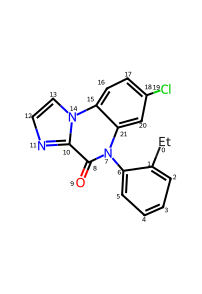 CCc1ccccc1-n1c(=O)c2nccn2c2ccc(Cl)cc21